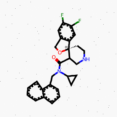 O=C(C1CNCC[C@@]12OCc1cc(F)c(F)cc12)N(Cc1cccc2ccccc12)C1CC1